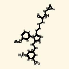 COc1cccc(-n2c(CCCCC(=O)NCC3CC3)nnc2SCc2cc(C)cc(C)c2)c1